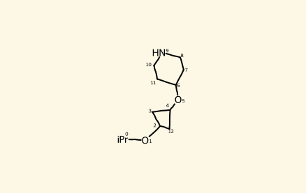 CC(C)OC1CC(OC2CCNCC2)C1